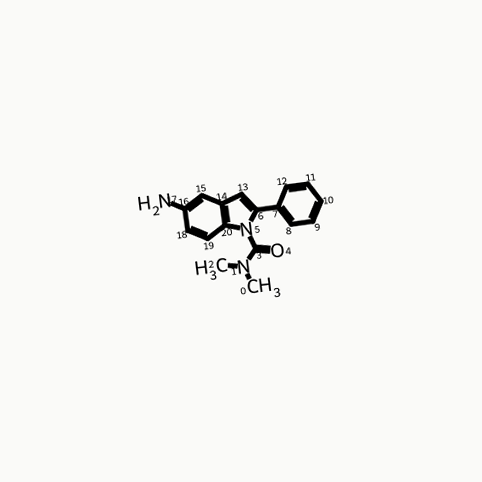 CN(C)C(=O)n1c(-c2ccccc2)cc2cc(N)ccc21